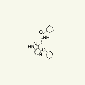 O=C(NCCc1n[nH]c2ccnc(OC3CCCCC3)c12)C1CCCCC1